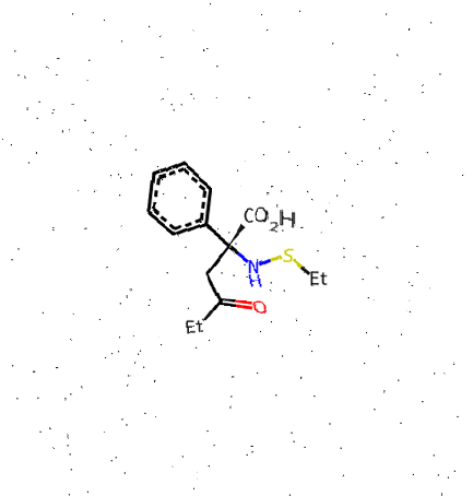 CCSN[C@@](CC(=O)CC)(C(=O)O)c1ccccc1